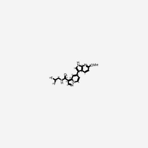 COc1ccc2c(-c3ccn4ncc(C(=O)NCC(F)F)c4c3)c[nH]c2n1